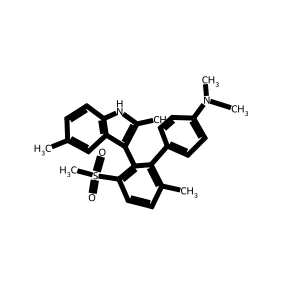 Cc1ccc2[nH]c(C)c(-c3c(S(C)(=O)=O)ccc(C)c3-c3ccc(N(C)C)cc3)c2c1